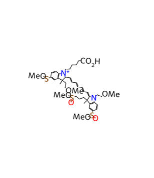 COCCN1/C(=C/C=C/C=C/C=C/C2=[N+](CCCCCC(=O)O)c3ccc(SOC)cc3C2(C)CCOC)C(C)(CCCS(=O)OC)c2cc(S(=O)OC)ccc21